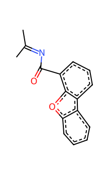 CC(C)=NC(=O)c1cccc2c1oc1ccccc12